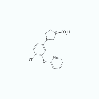 O=C(O)[C@@H]1CCN(c2ccc(Cl)c(Oc3ccccn3)c2)C1